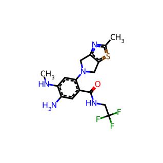 CNc1cc(N2Cc3nc(C)sc3C2)c(C(=O)NCC(F)(F)F)cc1N